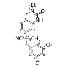 CCN1Cc2ccc(C(C)(C#N)Cc3cc(Cl)cc(Cl)c3)cc2NC1=O